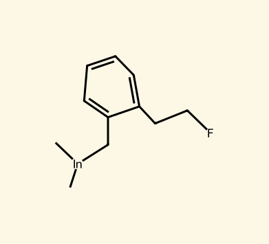 [CH3][In]([CH3])[CH2]c1ccccc1CCF